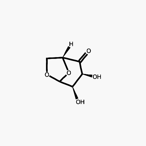 O=C1[C@@H](O)[C@@H](O)C2OC[C@H]1O2